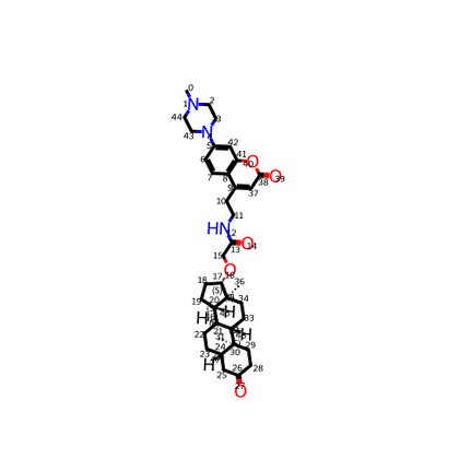 CN1CCN(c2ccc3c(CCNC(=O)CO[C@H]4CC[C@H]5[C@@H]6CC[C@H]7CC(=O)CC[C@]7(C)[C@H]6CC[C@]45C)cc(=O)oc3c2)CC1